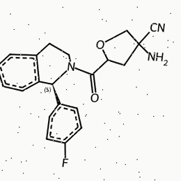 N#CC1(N)COC(C(=O)N2CCc3ccccc3[C@@H]2c2ccc(F)cc2)C1